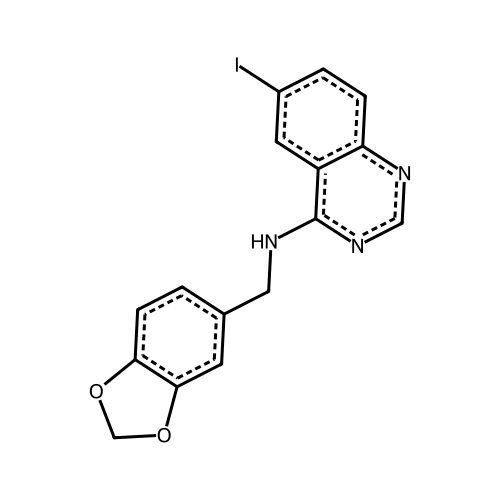 Ic1ccc2ncnc(NCc3ccc4c(c3)OCO4)c2c1